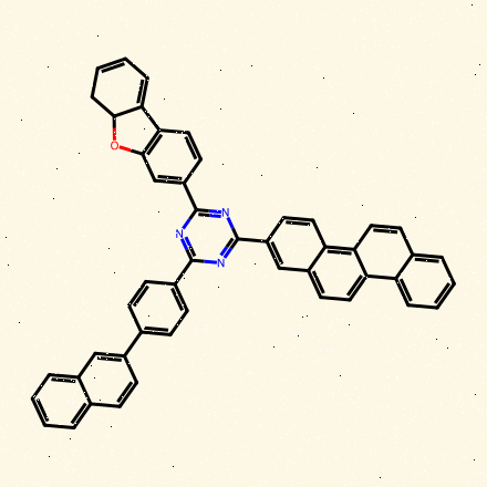 C1=CCC2Oc3cc(-c4nc(-c5ccc(-c6ccc7ccccc7c6)cc5)nc(-c5ccc6c(ccc7c8ccccc8ccc67)c5)n4)ccc3C2=C1